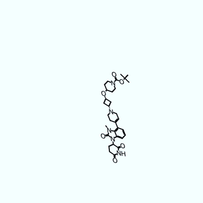 Cn1c(=O)n(C2CCC(=O)NC2=O)c2cccc(C3=CCN([C@H]4C[C@H](OC5CCN(C(=O)OC(C)(C)C)CC5)C4)CC3)c21